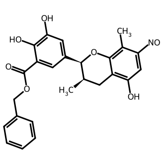 Cc1c(N=O)cc(O)c2c1O[C@H](c1cc(O)c(O)c(C(=O)OCc3ccccc3)c1)[C@H](C)C2